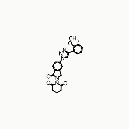 COc1ccccc1-c1cn(-c2ccc3c(c2)CN(N2C(=O)CCCC2=O)C3=O)nn1